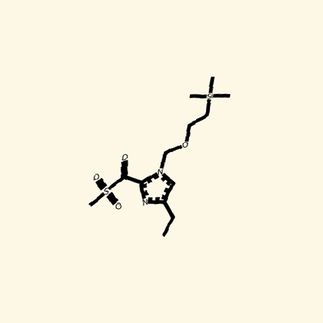 CCc1cn(COCC[Si](C)(C)C)c(C(=O)S(C)(=O)=O)n1